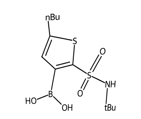 CCCCc1cc(B(O)O)c(S(=O)(=O)NC(C)(C)C)s1